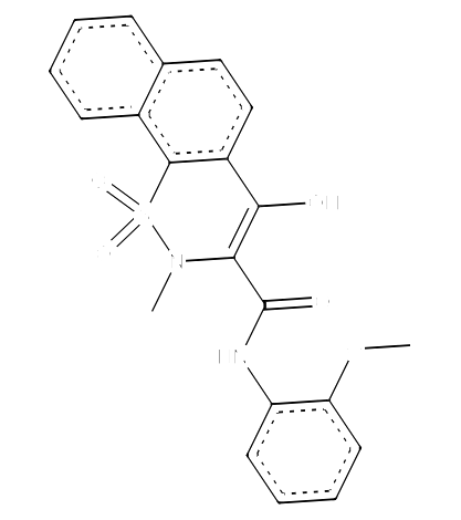 COc1ccccc1NC(=O)C1=C(O)c2ccc3ccccc3c2S(=O)(=O)N1C